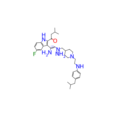 CC(C)CC(=O)c1[nH]c2ccc(F)cc2c1/C(N)=C/N(N)CC1CCN(CCNc2ccc(CC(C)C)cc2)CC1